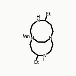 CCC1CCN2CCNC(CC)CCN(CCN1)CC2.[Mn]